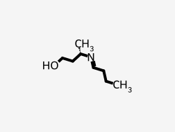 CCC/C=N/[C@@H](C)CCO